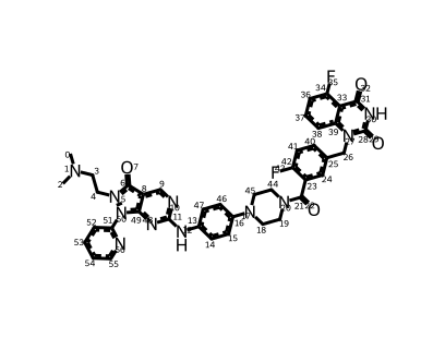 CN(C)CCn1c(=O)c2cnc(Nc3ccc(N4CCN(C(=O)c5cc(Cn6c(=O)[nH]c(=O)c7c(F)cccc76)ccc5F)CC4)cc3)nc2n1-c1ccccn1